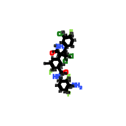 Cc1cc(C2(C(N)=O)C(c3ccc(F)c(Cl)c3)C2(Cl)Cl)cc(C(=O)Nc2ccc(F)c(N)c2F)c1F